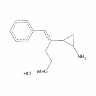 COCC/C(=C\c1ccccc1)C1CC1N.Cl